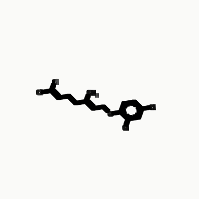 C/C(=C\COc1ccc(Cl)cc1Cl)CCC=C(Cl)Cl